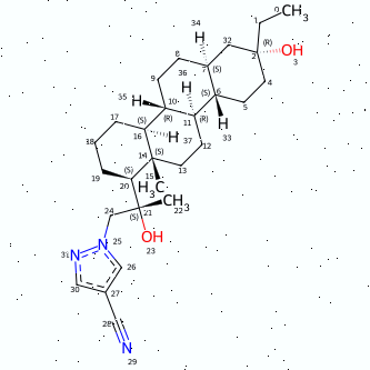 CC[C@@]1(O)CC[C@H]2[C@@H](CC[C@@H]3[C@@H]2CC[C@@]2(C)[C@H]3CCC[C@@H]2[C@](C)(O)Cn2cc(C#N)cn2)C1